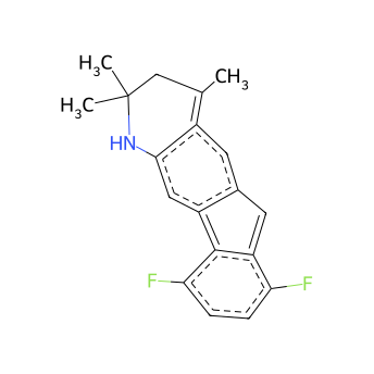 CC1=c2cc3c(cc2NC(C)(C)C1)=c1c(F)ccc(F)c1=C3